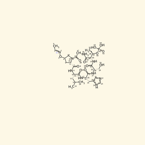 C/C=N/OC1C[C@@H](C(=O)N[C@@H](CC(C)C)C(=O)N[C@@H](Cc2cnc[nH]2)C(=O)N[C@@H](CO)C(=O)N[C@H](C(N)=O)[C@@H](C)OP(=O)(O)O)N(C(C)=O)C1